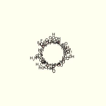 CC(C)C[C@@H]1NC(=O)[C@H](Cc2ccc(O)cc2)NC(=O)[C@H](Cc2c[nH]c3ccccc23)NC(=O)[C@H]2COCCN2C(=O)[C@H](Cc2ccc(O)cc2)NC(=O)[C@H](Cc2ccccc2)N(C)C(=O)[C@H](C(C)C)NC(=O)[C@H](COC=O)NC(=O)[C@H]2C[C@@H](O)CN2C(=O)[C@H](CCC(=O)O)N(C)C(=O)[C@H](Cc2ccccc2)N(C)C(=O)[C@H](Cc2cc(F)c(F)c(F)c2)NC(=O)CSC[C@@H](C(=O)NCC(N)=O)NC1=O